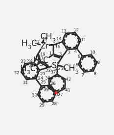 CC1=C2c3c(-c4ccccc4)cccc3[CH]1[Zr]([CH3])([CH3])[CH]1C(C)=C(c3c(-c4ccccc4)cccc31)[Si]2(C)c1ccccc1